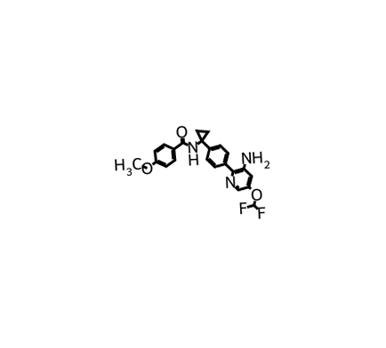 COc1ccc(C(=O)NC2(c3ccc(-c4ncc(OC(F)F)cc4N)cc3)CC2)cc1